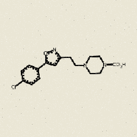 O=C(O)N1CCN(CCc2cc(-c3ccc(Cl)cc3)on2)CC1